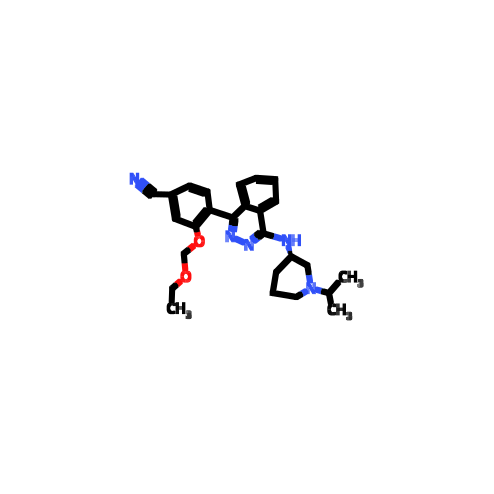 CCOCOc1cc(C#N)ccc1-c1nnc(N[C@@H]2CCCN(C(C)C)C2)c2ccccc12